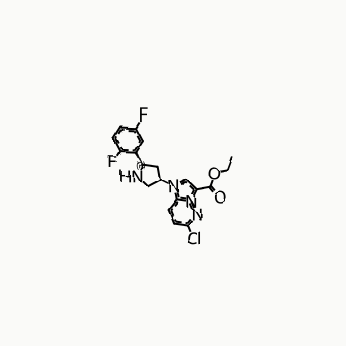 CCOC(=O)c1c[n+](C2CN[C@@H](c3cc(F)ccc3F)C2)c2ccc(Cl)nn12